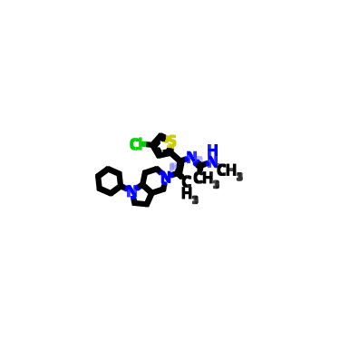 CN/C(C)=N/C(=C(\C)N1CCC2C(CCN2C2CCCCC2)C1)c1cc(Cl)cs1